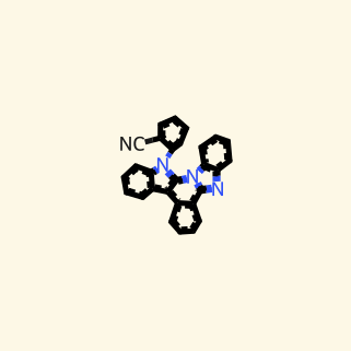 N#Cc1ccccc1-n1c2ccccc2c2c3ccccc3c3nc4ccccc4n3c21